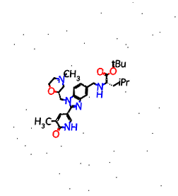 Cc1cc(-c2nc3cc(CN[C@@H](CC(C)C)C(=O)OC(C)(C)C)ccc3n2C[C@@H]2CN(C)CCO2)c[nH]c1=O